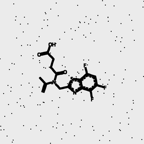 C=C(C)N(Cc1nc2c(F)c(F)cc(F)c2s1)C(=O)CCC(=O)O